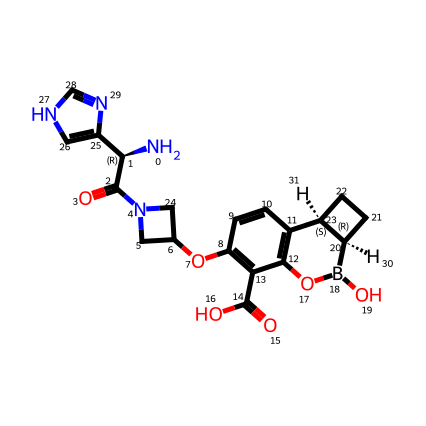 N[C@@H](C(=O)N1CC(Oc2ccc3c(c2C(=O)O)OB(O)[C@@H]2CC[C@H]32)C1)c1c[nH]cn1